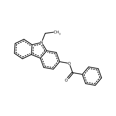 CCn1c2ccccc2c2ccc(OC(=O)c3ccccc3)cc21